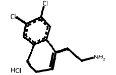 Cl.NCCC1=CCCc2cc(Cl)c(Cl)cc21